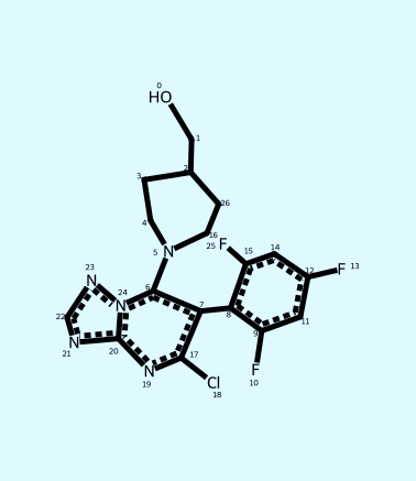 OCC1CCN(c2c(-c3c(F)cc(F)cc3F)c(Cl)nc3ncnn23)CC1